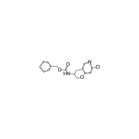 O=C(NC1COc2cc(Cl)ncc2C1)OCc1ccccc1